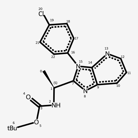 C[C@H](NC(=O)OC(C)(C)C)c1nc2cccnc2n1-c1ccc(Cl)cc1